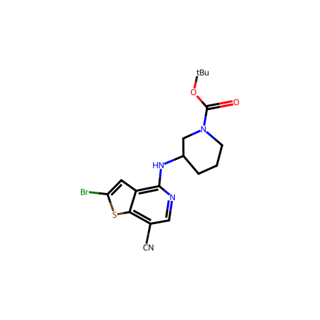 CC(C)(C)OC(=O)N1CCCC(Nc2ncc(C#N)c3sc(Br)cc23)C1